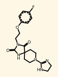 O=C1NC2(CCN(C3=NCCN3)CC2)C(=O)N1CCOc1ccc(F)cc1